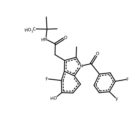 Cc1c(CC(=O)NC(C)(C)C(=O)O)c2c(F)c(O)ccc2n1C(=O)c1ccc(F)c(F)c1